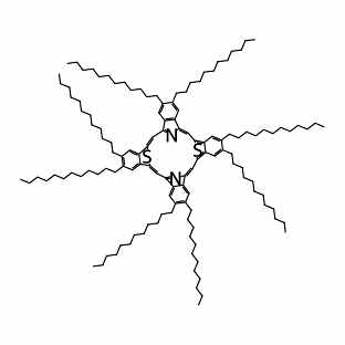 CCCCCCCCCCCCc1cc2c(cc1CCCCCCCCCCCC)-c1cc3sc(cc4nc(cc5sc(cc-2n1)c1cc(CCCCCCCCCCCC)c(CCCCCCCCCCCC)cc51)-c1cc(CCCCCCCCCCCC)c(CCCCCCCCCCCC)cc1-4)c1cc(CCCCCCCCCCCC)c(CCCCCCCCCCCC)cc31